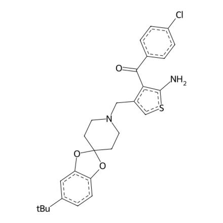 CC(C)(C)c1ccc2c(c1)OC1(CCN(Cc3csc(N)c3C(=O)c3ccc(Cl)cc3)CC1)O2